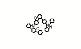 C1=C2c3ccccc3OC2C2C(=C1)c1ccccc1N2c1ccc2c(c1)oc1cccc(-c3ccc(-n4c(-c5ccccc5)nc5ccccc54)cc3)c12